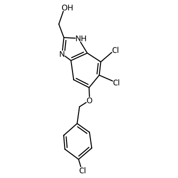 OCc1nc2cc(OCc3ccc(Cl)cc3)c(Cl)c(Cl)c2[nH]1